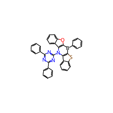 c1ccc(B2c3oc4ccccc4c3N(c3nc(-c4ccccc4)nc(-c4ccccc4)n3)c3c2sc2ccccc32)cc1